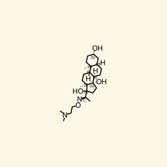 C/C(=N\OCCN(C)C)[C@@]1(O)CC[C@]2(O)[C@@H]3CC[C@@H]4C[C@@H](O)CC[C@]4(C)[C@H]3CC[C@]12C